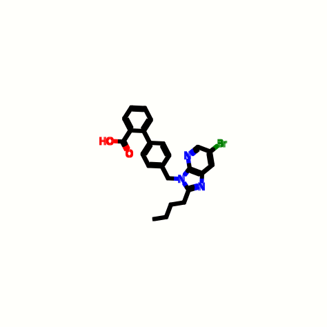 CCCCc1nc2cc(Br)cnc2n1Cc1ccc(-c2ccccc2C(=O)O)cc1